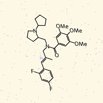 COc1cc(C(=O)N(C/C(C)=C/c2ccc(F)cc2F)CC2CCCN2C2CCCC2)cc(OC)c1OC